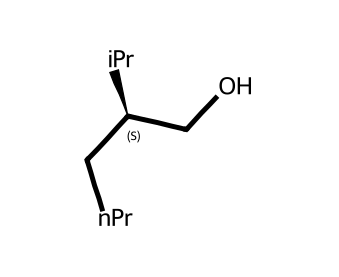 CCCC[C@H](CO)C(C)C